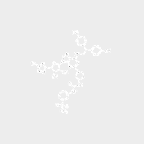 CCn1nnc([C@H]2O[C@@H](n3cnc4c(NCC(c5ccc(O)cc5)c5ccc(O)cc5)nc(N5CCC(NC(=O)Nc6cccc(S(N)(=O)=O)c6)C5)nc43)[C@H](O)C2O)n1